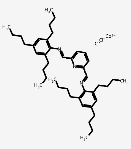 CCCCc1cc(CCCC)c(N=Cc2cccc(C=Nc3c(CCCC)cc(CCCC)cc3CCCC)n2)c(CCCC)c1.[Cl-].[Cl-].[Co+2]